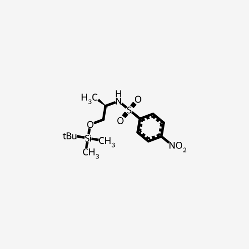 C[C@H](CO[Si](C)(C)C(C)(C)C)NS(=O)(=O)c1ccc([N+](=O)[O-])cc1